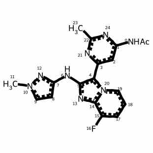 CC(=O)Nc1cc(-c2c(Nc3ccn(C)n3)nc3c(F)cccn23)nc(C)n1